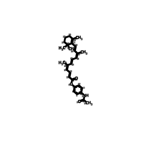 CC(=O)Nc1ccc(OC(=O)C=CC=C(C)C=CC=C(C)C=CC2=C(C)CCCC2(C)C)cc1